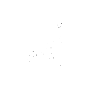 CO[C@@]1(NC(=O)C(NC(=O)c2c(C)oc3cc(O)c(O)cc3c2=O)c2ccc(OCC(=O)O)cc2)C(=O)N2C(C(=O)[O-])=C(CSc3nnnn3CC(=O)O)CS[C@H]21.[Na+]